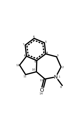 CN1CCc2cccc3c2C(CC3)C1=O